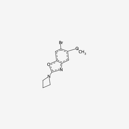 COc1cc2nc(N3CCC3)oc2cc1Br